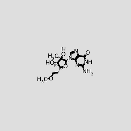 COCC[C@H]1O[C@@H](n2cnc3c(=O)[nH]c(N)nc32)[C@](C)(O)[C@@H]1O